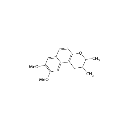 COc1cc2ccc3c(c2cc1OC)CC(C)C(C)O3